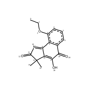 CCOc1cccc2c1C1=NC(=O)C(C)(C)C1=C(O)C2=O